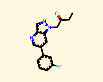 CCC(=O)Cn1ncc2ncc(-c3cccc(F)c3)cc21